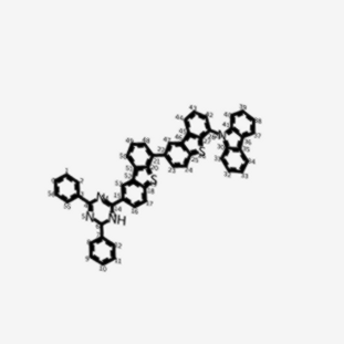 c1ccc(C2=NC(c3ccccc3)NC(c3ccc4sc5c(-c6ccc7sc8c(-n9c%10ccccc%10c%10ccccc%109)cccc8c7c6)cccc5c4c3)=N2)cc1